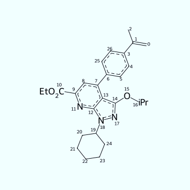 C=C(C)c1ccc(-c2cc(C(=O)OCC)nc3c2c(OC(C)C)nn3C2CCCCC2)cc1